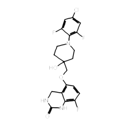 O=C1NCc2c(OCC3(O)CCN(c4c(F)cc(Cl)cc4F)CC3)ccc(F)c2N1